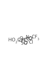 O=C(O)CC1Sc2ccccc2N(Cc2nc3cc(C(F)(F)F)cc(Cl)c3s2)C1=O